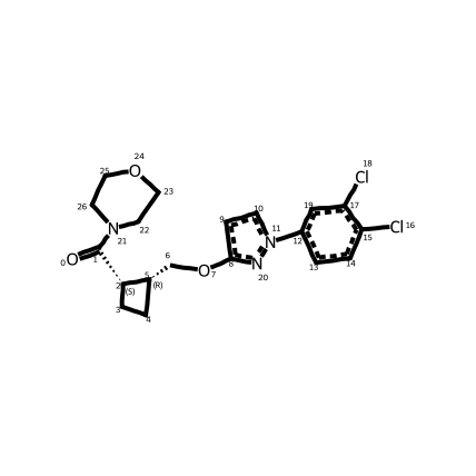 O=C([C@H]1CC[C@H]1COc1ccn(-c2ccc(Cl)c(Cl)c2)n1)N1CCOCC1